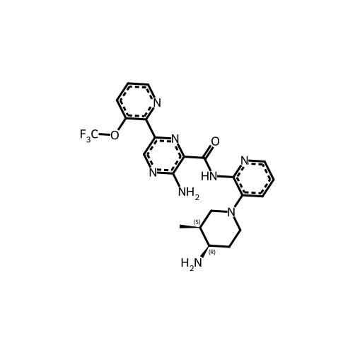 C[C@H]1CN(c2cccnc2NC(=O)c2nc(-c3ncccc3OC(F)(F)F)cnc2N)CC[C@H]1N